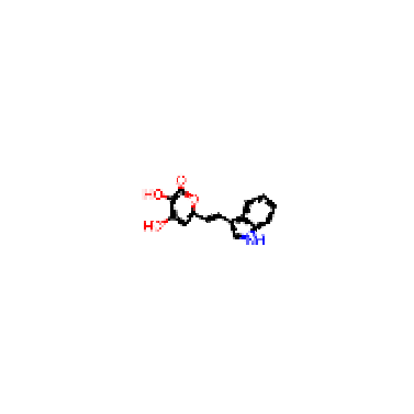 O=c1oc(/C=C/c2c[nH]c3ccccc23)cc(O)c1O